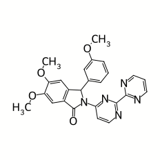 COc1cccc(C2c3cc(OC)c(OC)cc3C(=O)N2c2ccnc(-c3ncccn3)n2)c1